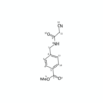 COC(=O)c1ccc(CNC(=O)CC#N)cc1